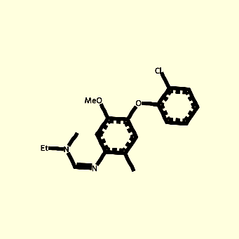 CCN(C)/C=N\c1cc(OC)c(Oc2ccccc2Cl)cc1C